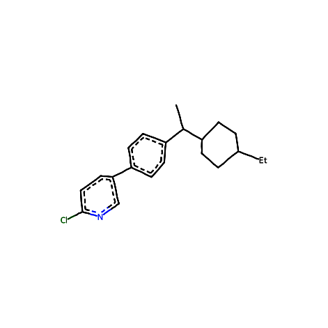 CCC1CCC(C(C)c2ccc(-c3ccc(Cl)nc3)cc2)CC1